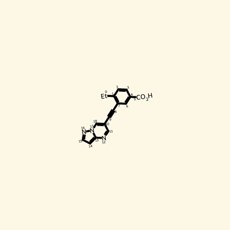 CCc1ccc(C(=O)O)cc1C#Cc1cnc2ccnn2c1